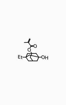 C=C(C)C(=O)OC12CC3CC(O)(CC(CC)(C3)C1)C2